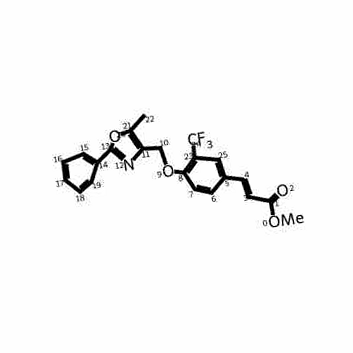 COC(=O)C=Cc1ccc(OCc2nc(-c3ccccc3)oc2C)c(C(F)(F)F)c1